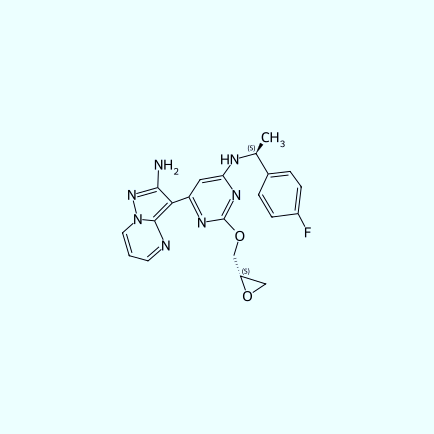 C[C@H](Nc1cc(-c2c(N)nn3cccnc23)nc(OC[C@@H]2CO2)n1)c1ccc(F)cc1